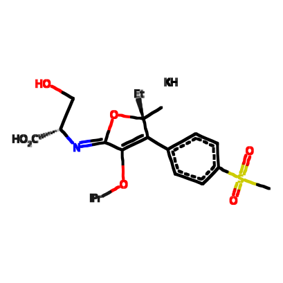 CC[C@]1(C)OC(=N[C@@H](CO)C(=O)O)C(OC(C)C)=C1c1ccc(S(C)(=O)=O)cc1.[KH]